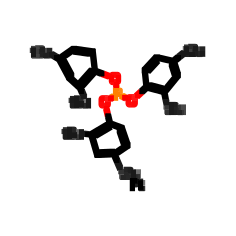 CC(C)(C)c1ccc(OP(Oc2ccc(C(C)(C)C)cc2C(C)(C)C)Oc2ccc(C(C)(C)C)cc2C(C)(C)C)c(C(C)(C)C)c1.[Pt]